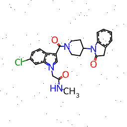 CNC(=O)Cn1cc(C(=O)N2CCC(N3C(=O)Cc4ccccc43)CC2)c2ccc(Cl)cc21